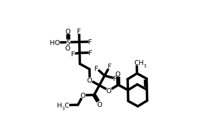 CCOC(=O)C(OCCC(F)(F)C(F)(F)S(=O)(=O)O)(OC(=O)C12CCCC(=CC(C)C1)C2)C(F)(F)F